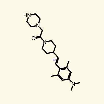 Cc1cc(N(C)C)cc(C)c1/C=C/C1CCN(C(=O)CN2CCNCC2)CC1